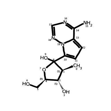 C[C@H]1[C@H](O)[C@@H](CO)OC1(O)c1ccc2c(N)ncnn12